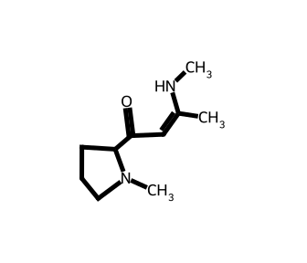 CN/C(C)=C\C(=O)C1CCCN1C